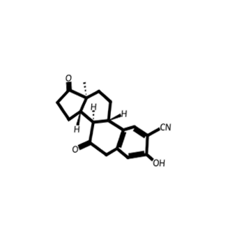 C[C@]12CC[C@@H]3c4cc(C#N)c(O)cc4CC(=O)[C@H]3[C@@H]1CCC2=O